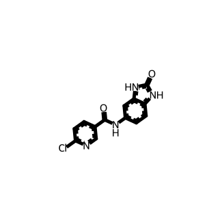 O=C(Nc1ccc2[nH]c(=O)[nH]c2c1)c1ccc(Cl)nc1